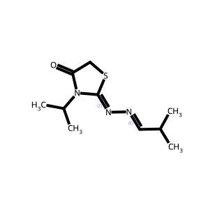 CC(C)/C=N/N=C1\SCC(=O)N1C(C)C